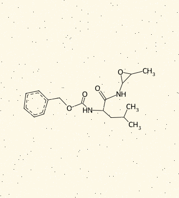 CC(C)CC(NC(=O)OCc1ccccc1)C(=O)NC1OC1C